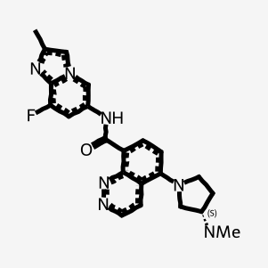 CN[C@H]1CCN(c2ccc(C(=O)Nc3cc(F)c4nc(C)cn4c3)c3nnccc23)C1